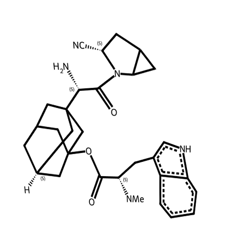 CN[C@@H](Cc1c[nH]c2ccccc12)C(=O)OC12CC3C[C@H](C1)CC([C@H](N)C(=O)N1C4CC4C[C@H]1C#N)(C3)C2